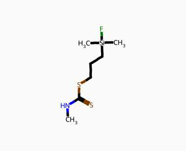 CNC(=S)SCCC[Si](C)(C)F